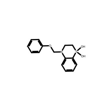 OS1(O)CCN(COc2cc[c]cc2)c2ccccc21